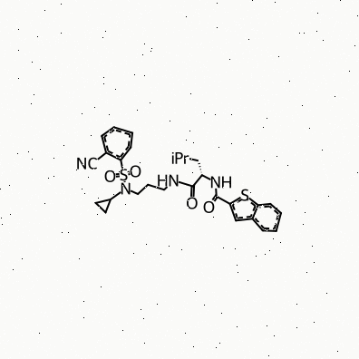 CC(C)C[C@H](NC(=O)c1cc2ccccc2s1)C(=O)NCCCN(C1CC1)S(=O)(=O)c1ccccc1C#N